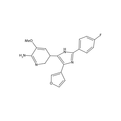 COC1=CC(c2[nH]c(-c3ccc(F)cc3)nc2-c2ccoc2)CN=C1N